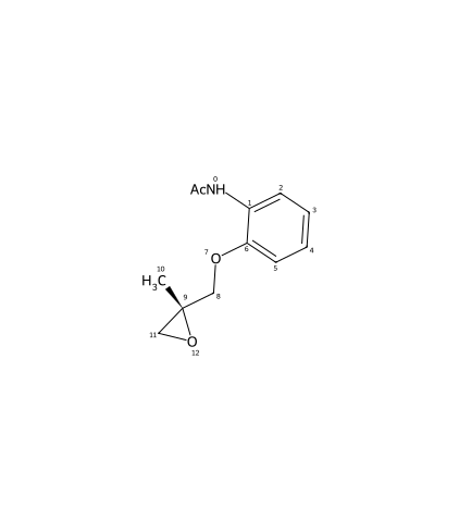 CC(=O)Nc1ccccc1OC[C@@]1(C)CO1